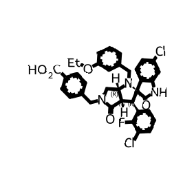 CCOc1cccc(CN2[C@H]3CN(Cc4ccc(C(=O)O)cc4)C(=O)[C@H]3[C@H](c3cccc(Cl)c3F)[C@@]23C(=O)Nc2cc(Cl)ccc23)c1